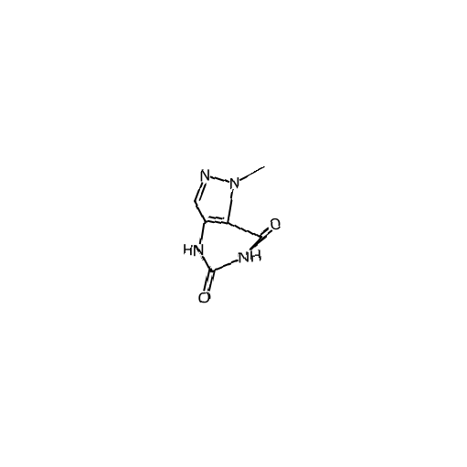 Cn1ncc2[nH]c(=O)[nH]c(=O)c21